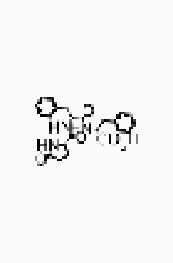 O=C1CC[C@@H](C(=O)N[C@@H](Cc2ccccc2)C(=O)N[C@@H](Cc2ccccc2)C(=O)O)N1